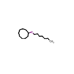 CCCCCCC[P]C1CCCCCCCC1